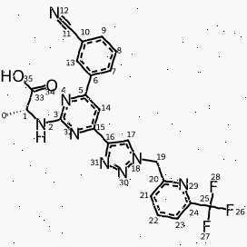 C[C@@H](Nc1nc(-c2cccc(C#N)c2)cc(-c2cn(Cc3cccc(C(F)(F)F)n3)nn2)n1)C(=O)O